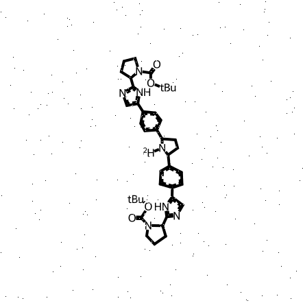 [2H]N1C(c2ccc(-c3cnc(C4CCCN4C(=O)OC(C)(C)C)[nH]3)cc2)CCC1c1ccc(-c2cnc(C3CCCN3C(=O)OC(C)(C)C)[nH]2)cc1